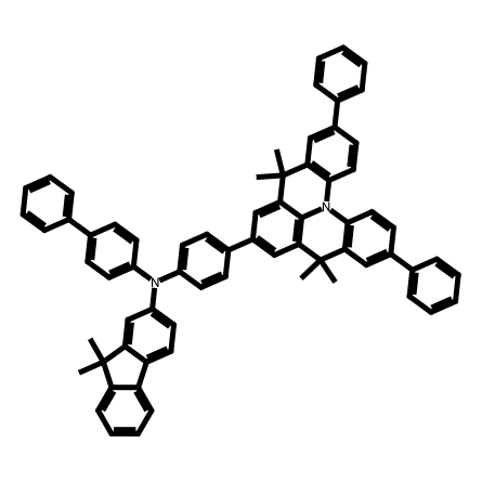 CC1(C)c2ccccc2-c2ccc(N(c3ccc(-c4ccccc4)cc3)c3ccc(-c4cc5c6c(c4)C(C)(C)c4cc(-c7ccccc7)ccc4N6c4ccc(-c6ccccc6)cc4C5(C)C)cc3)cc21